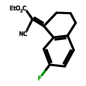 CCOC(=O)C(C#N)=C1CCCc2ccc(F)cc21